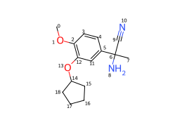 COc1ccc(C(C)(N)C#N)cc1OC1CCCC1